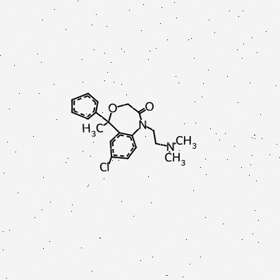 CN(C)CCN1C(=O)COC(C)(c2ccccc2)c2cc(Cl)ccc21